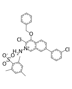 Cc1cc(C)c(S(=O)(=O)[O-])c(C)c1.N[n+]1cc2cc(-c3cccc(Cl)c3)ccc2c(OCc2ccccc2)c1Cl